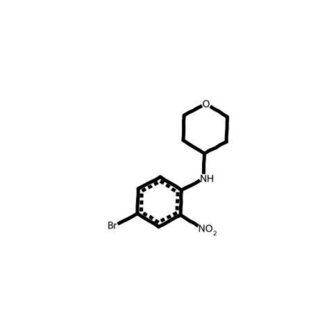 O=[N+]([O-])c1cc(Br)ccc1NC1CCOCC1